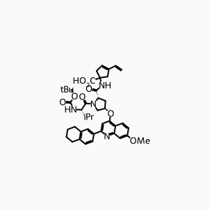 C=CC1=CCC(NC(=O)[C@@H]2C[C@@H](Oc3cc(-c4ccc5c(c4)CCCC5)nc4cc(OC)ccc34)CN2C(=O)[C@@H](NC(=O)OC(C)(C)C)C(C)C)(C(=O)O)C1